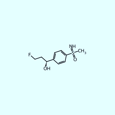 CS(=N)(=O)c1ccc([C@@H](O)CCF)cc1